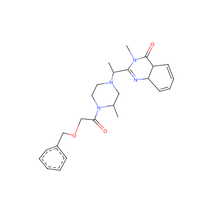 CC(C1=NC2C=CC=CC2C(=O)N1C)N1CCN(C(=O)COCc2ccccc2)C(C)C1